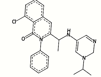 CC(NC1=CN(C(C)C)CN=C1)c1cc2cccc(Cl)c2c(=O)n1-c1ccccc1